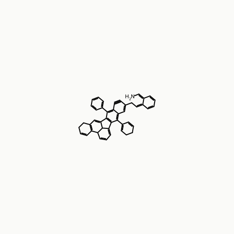 N/C=c1/cccc/c1=C/Cc1c#cc2c(-c3ccccc3)c3c(c(C4=CCCC=C4)c2c1)C1=CC=CC2C4=C(C=C3C12)CCC=C4